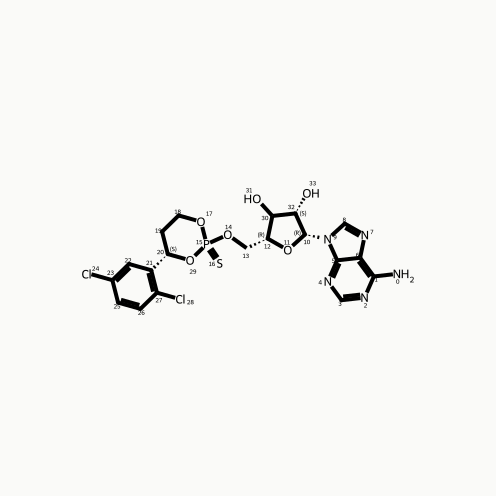 Nc1ncnc2c1ncn2[C@@H]1O[C@H](COP2(=S)OCC[C@@H](c3cc(Cl)ccc3Cl)O2)C(O)[C@@H]1O